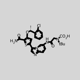 C[C@@H](Oc1cc(-c2cnc3ccc(NC(=O)CN(C(=O)O)C(C)(C)C)cn23)sc1C(N)=O)c1ccccc1Cl